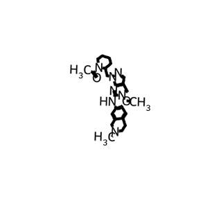 COc1cc2c(cc1Nc1ncc3cnn(CC4CCCCN4C(C)=O)c3n1)CN(C)CC2